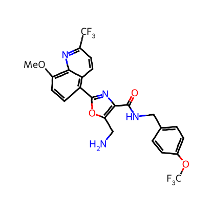 COc1ccc(-c2nc(C(=O)NCc3ccc(OC(F)(F)F)cc3)c(CN)o2)c2ccc(C(F)(F)F)nc12